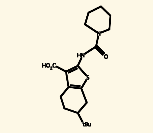 CC(C)(C)C1CCc2c(sc(NC(=O)N3CCCCC3)c2C(=O)O)C1